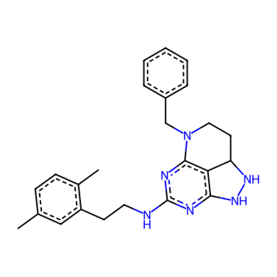 Cc1ccc(C)c(CCNc2nc3c4c(n2)N(Cc2ccccc2)CCC4NN3)c1